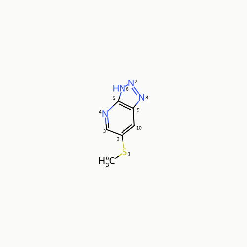 CSc1cnc2[nH]nnc2c1